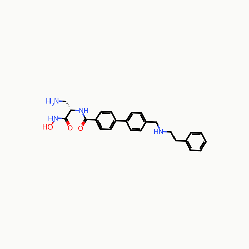 NC[C@H](NC(=O)c1ccc(-c2ccc(CNCCc3ccccc3)cc2)cc1)C(=O)NO